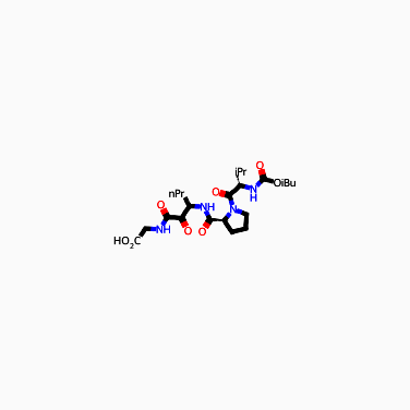 CCCC(NC(=O)[C@@H]1CCCN1C(=O)[C@@H](NC(=O)OCC(C)C)C(C)C)C(=O)C(=O)NCC(=O)O